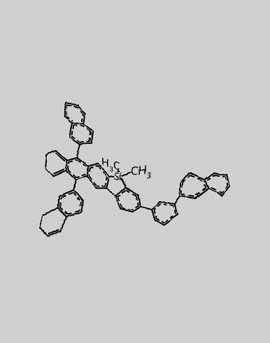 C[Si]1(C)c2cc(-c3cccc(-c4ccc5ccccc5c4)c3)ccc2-c2cc3c(-c4ccc5c(c4)CCC=C5)c4c(c(-c5ccc6ccccc6c5)c3cc21)=CCCC=4